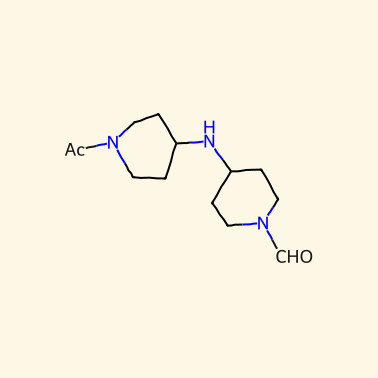 CC(=O)N1CCC(NC2CCN(C=O)CC2)CC1